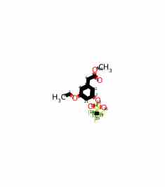 CCOc1cc(CC(=O)OC)cc(OS(=O)(=O)C(F)(F)F)c1